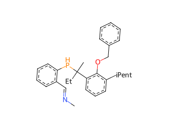 CCCC(C)c1cccc(C(C)(CC)Pc2ccccc2/C=N/C)c1OCc1ccccc1